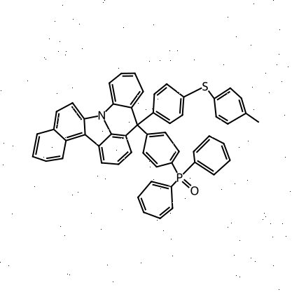 Cc1ccc(Sc2ccc(C3(c4ccc(P(=O)(c5ccccc5)c5ccccc5)cc4)c4ccccc4-n4c5ccc6ccccc6c5c5cccc3c54)cc2)cc1